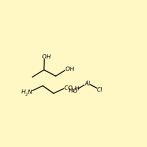 CC(O)CO.NCCC(=O)O.[OH][Al][Cl]